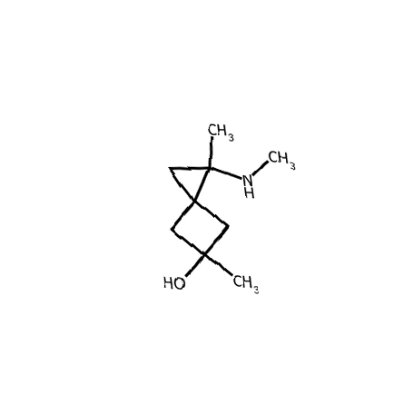 CNC1(C)CC12CC(C)(O)C2